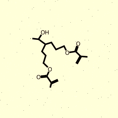 [CH2]C(O)C(CCCOC(=O)C(=C)C)CCCOC(=O)C(=C)C